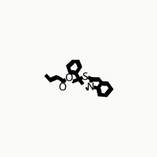 CC=CC(=O)OCC(C)(Sc1cc2ccccc2n1C)c1ccccc1